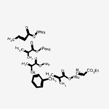 C=C(C)C(=O)OCCC.C=C(C)C(=O)OCCCC.C=C(C)C(=O)OCCCCC.C=CC(=O)OCC.CC=CC(=O)OCCCCCC.Cc1cc[c]cc1